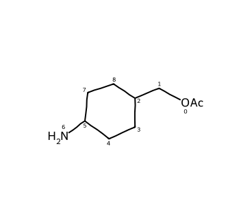 CC(=O)OCC1CCC(N)CC1